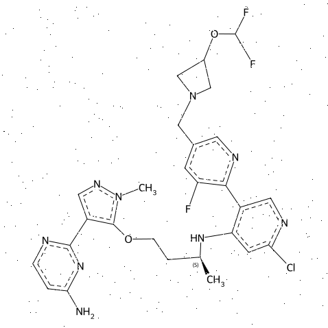 C[C@@H](CCOc1c(-c2nccc(N)n2)cnn1C)Nc1cc(Cl)ncc1-c1ncc(CN2CC(OC(F)F)C2)cc1F